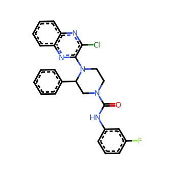 O=C(Nc1cccc(F)c1)N1CCN(c2nc3ccccc3nc2Cl)C(c2ccccc2)C1